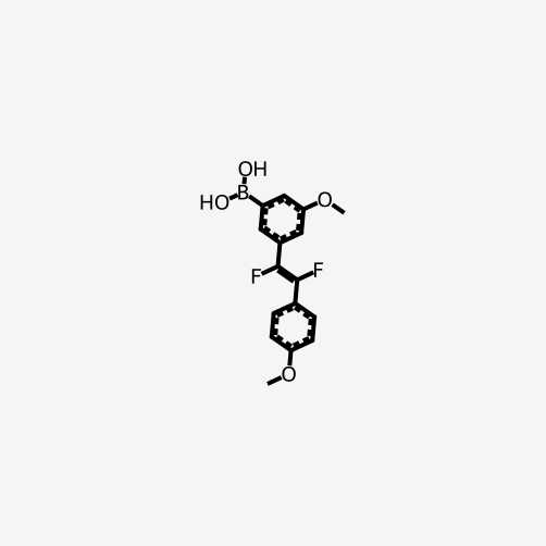 COc1ccc(/C(F)=C(\F)c2cc(OC)cc(B(O)O)c2)cc1